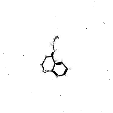 CC(C)O/N=C1\CCOc2ccccc21